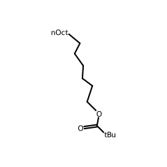 CCCCCCCCCCCCCCOC(=O)C(C)(C)C